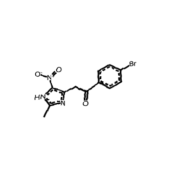 Cc1nc(CC(=O)c2ccc(Br)cc2)c([N+](=O)[O-])[nH]1